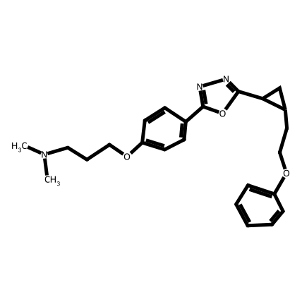 CN(C)CCCOc1ccc(-c2nnc(C3CC3CCOc3ccccc3)o2)cc1